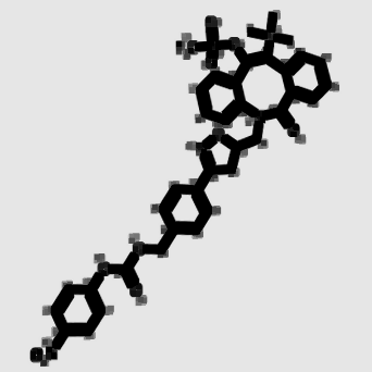 C[Si](C)(C)/C1=C(\OS(=O)(=O)C(F)(F)F)c2ccccc2N(CC2CC(c3ccc(COC(=O)Oc4ccc([N+](=O)[O-])cc4)cc3)=NO2)C(=O)c2ccccc21